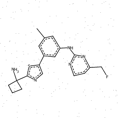 Cc1cc(Nc2nccc(CF)n2)cc(-c2cnc(C3(N)CCC3)s2)c1